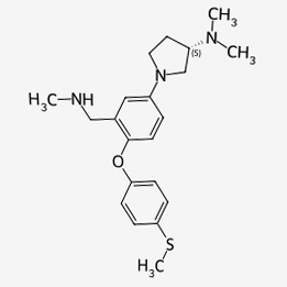 CNCc1cc(N2CC[C@H](N(C)C)C2)ccc1Oc1ccc(SC)cc1